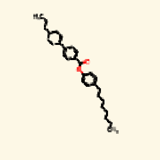 CCCCCCCCc1ccc(OC(=O)c2ccc(C3=CCC(CCC)CC3)cc2)cc1